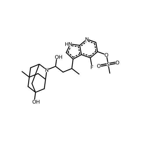 CC(CC(O)N1C2CC3(C)CC1CC(O)(C2)C3)c1c[nH]c2ncc(OS(C)(=O)=O)c(F)c12